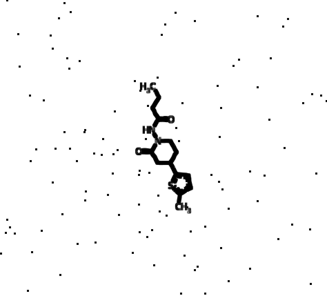 CCCC(=O)NN1CCC(c2ccc(C)s2)CC1=O